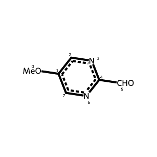 COc1cnc(C=O)nc1